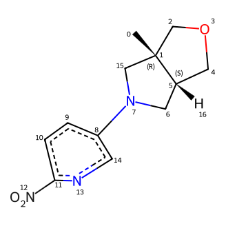 C[C@@]12COC[C@@H]1CN(c1ccc([N+](=O)[O-])nc1)C2